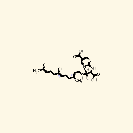 CC(C)=CCC/C(C)=C/CC/C(C)=C/CSC(C)(C)C(Nc1ncc(C(=O)O)cn1)C(=O)O